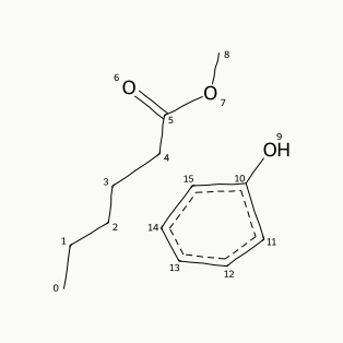 CCCCCC(=O)OC.Oc1ccccc1